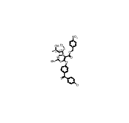 CCS[C@@H]1[C@@H]([C@@H](C)O)C(=O)N1C(C(=O)OCc1ccc([N+](=O)[O-])cc1)=C(Oc1ccc(C(=S)c2ccc(Cl)cc2)cc1)SC(=O)C(C)(C)C